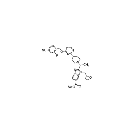 COC(=O)c1ccc2nc([C@H](C)N3CCC(c4nccc(OCc5ccc(C#N)cc5F)n4)CC3)n(CC3CCO3)c2c1